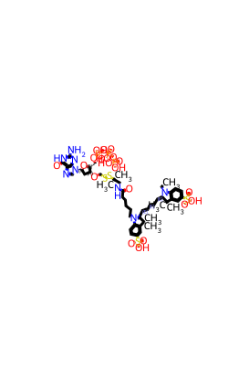 CCN1/C(=C/C=C/C=C/C2=[N+](CCCCCC(=O)NCC(C)(C)SSCO[C@@H]3C[C@H](n4cnc5c(=O)[nH]c(N)nc54)O[C@@H]3COP(=O)(O)OP(=O)(O)OP(=O)(O)O)c3ccc(S(=O)(=O)O)cc3C2(C)C)C(C)(C)c2cc(S(=O)(=O)O)ccc21